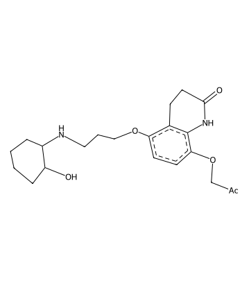 CC(=O)COc1ccc(OCCCNC2CCCCC2O)c2c1NC(=O)CC2